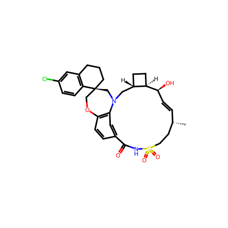 C[C@H]1/C=C/[C@H](O)[C@@H]2CC[C@H]2CN2C[C@@]3(CCCc4cc(Cl)ccc43)COc3ccc(cc32)C(=O)NS(=O)(=O)CC1